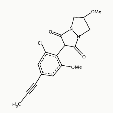 CC#Cc1cc(Cl)c(C2C(=O)N3CC(OC)CN3C2=O)c(OC)c1